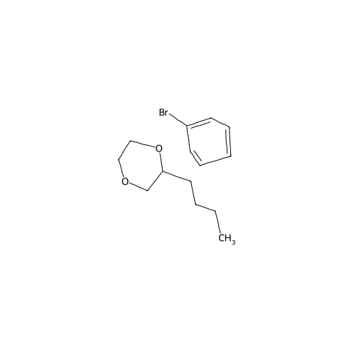 Brc1ccccc1.CCCCC1COCCO1